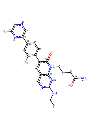 CCNc1ncc2cc(-c3ccc(-c4cncc(C)n4)cc3Cl)c(=O)n(CCCC(N)=O)c2n1